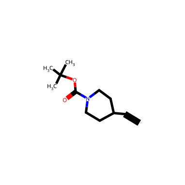 [C]#CC1CCN(C(=O)OC(C)(C)C)CC1